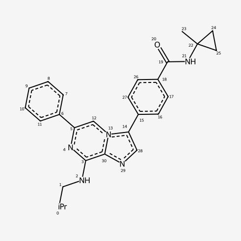 CC(C)CNc1nc(-c2ccccc2)cn2c(-c3ccc(C(=O)NC4(C)CC4)cc3)cnc12